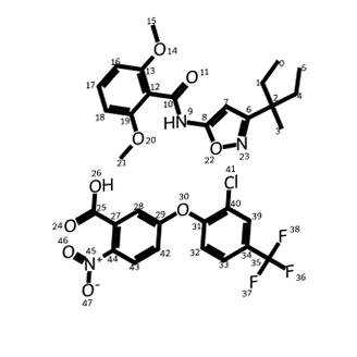 CCC(C)(CC)c1cc(NC(=O)c2c(OC)cccc2OC)on1.O=C(O)c1cc(Oc2ccc(C(F)(F)F)cc2Cl)ccc1[N+](=O)[O-]